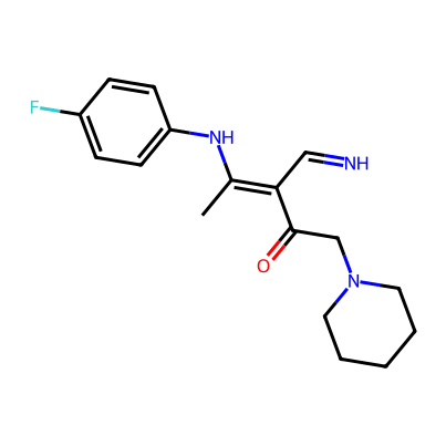 C/C(Nc1ccc(F)cc1)=C(/C=N)C(=O)CN1CCCCC1